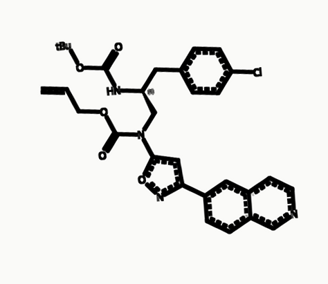 C=CCOC(=O)N(C[C@H](Cc1ccc(Cl)cc1)NC(=O)OC(C)(C)C)c1cc(-c2ccc3cnccc3c2)no1